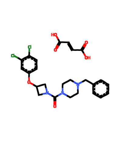 O=C(N1CCN(Cc2ccccc2)CC1)N1CC(Oc2ccc(Cl)c(Cl)c2)C1.O=C(O)/C=C/C(=O)O